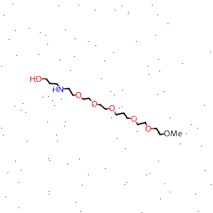 COCCOCCOCCCOCCOCCOCCNCCCO